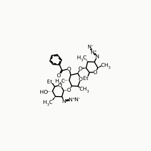 CCC1O[C@H](O[C@@H]2C(C)O[C@H](O[C@@H]3C(CC)O[C@H](C)C(N=[N+]=[N-])[C@H]3C)C(OC(=O)c3ccccc3)[C@H]2C)C(N=[N+]=[N-])[C@@H](C)[C@@H]1O